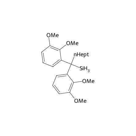 CCCCCCCC([SiH3])(c1cccc(OC)c1OC)c1cccc(OC)c1OC